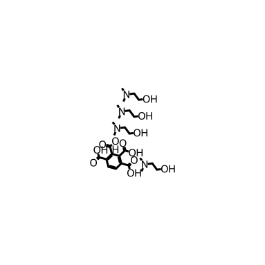 CN(C)CCO.CN(C)CCO.CN(C)CCO.CN(C)CCO.O=C(O)c1ccc(C(=O)O)c(C(=O)O)c1C(=O)O